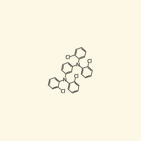 Clc1ccccc1N(c1cccc(N(c2ccccc2Cl)c2ccccc2Cl)c1)c1ccccc1Cl